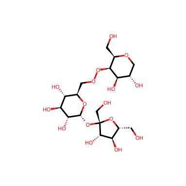 OC[C@H]1O[C@@](CO)(O[C@H]2O[C@H](COO[C@@H]3[C@H](O)[C@@H](O)CO[C@@H]3CO)[C@@H](O)[C@H](O)[C@H]2O)[C@@H](O)[C@@H]1O